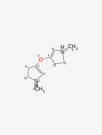 C[SiH]1C=C(OC2=C[SiH](C)CC2)CC1